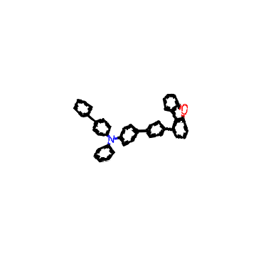 c1ccc(-c2ccc(N(c3ccccc3)c3ccc(-c4ccc(-c5cccc6oc7ccccc7c56)cc4)cc3)cc2)cc1